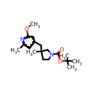 COc1cc(CC2(C)CCN(C(=O)OC(C)(C)C)C2)cc(C)n1